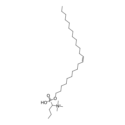 CCCCCCCCCCCC/C=C\CCCCCCCCCOP(=O)(O)C(CCC)[N+](C)(C)C